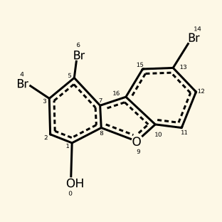 Oc1cc(Br)c(Br)c2c1oc1ccc(Br)cc12